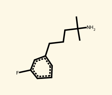 CC(C)(N)CCCc1cccc(F)c1